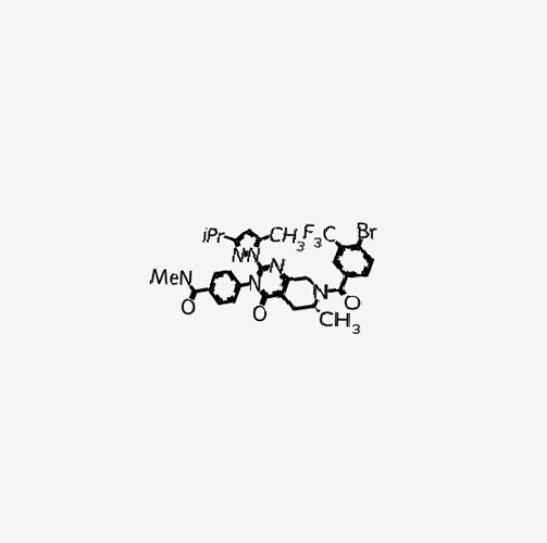 CNC(=O)c1ccc(-n2c(-n3nc(C(C)C)cc3C)nc3c(c2=O)C[C@@H](C)N(C(=O)c2ccc(Br)c(C(F)(F)F)c2)C3)cc1